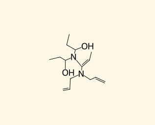 C=CCN(CC=C)C(=CC)N(C(O)CC)C(O)CC